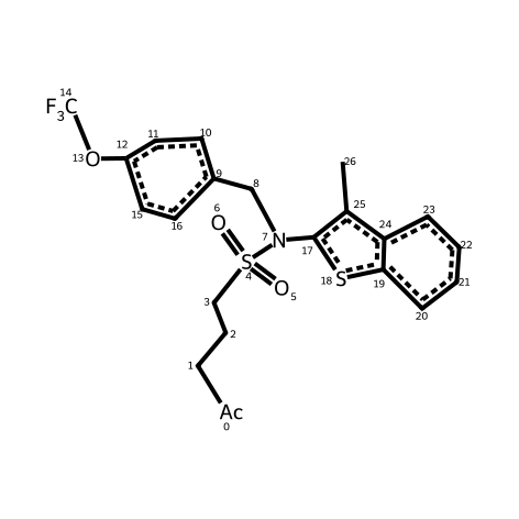 CC(=O)CCCS(=O)(=O)N(Cc1ccc(OC(F)(F)F)cc1)c1sc2ccccc2c1C